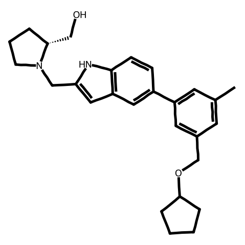 Cc1cc(COC2CCCC2)cc(-c2ccc3[nH]c(CN4CCC[C@@H]4CO)cc3c2)c1